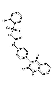 O=C(Nc1ccc(-n2c(=O)[nH]c3ccccc3c2=O)cc1)NS(=O)(=O)c1ccccc1Cl